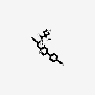 COC1(C(=O)NC(C#N)Cc2ncc(-c3ccc(C#N)cc3)cc2F)CNC1